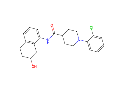 O=C(Nc1cccc2c1CC(O)CC2)C1CCN(c2ccccc2Cl)CC1